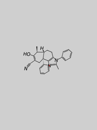 Cc1nc2c(n1-c1ccccc1)CC[C@H]1[C@H](C)C(O)=C(C#N)C[C@]21c1ccccc1